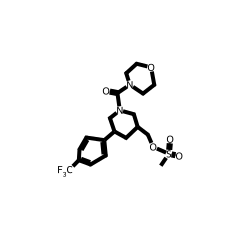 CS(=O)(=O)OCC1CC(c2ccc(C(F)(F)F)cc2)CN(C(=O)N2CCOCC2)C1